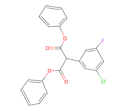 O=C(Oc1ccccc1)C(C(=O)Oc1ccccc1)c1cc(Cl)cc(I)c1